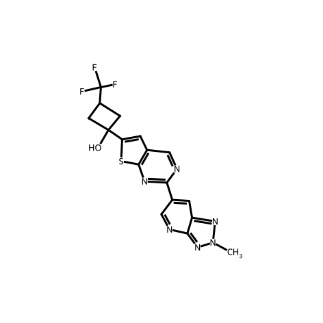 Cn1nc2cc(-c3ncc4cc(C5(O)CC(C(F)(F)F)C5)sc4n3)cnc2n1